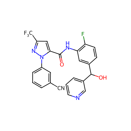 N#Cc1cccc(-n2nc(C(F)(F)F)cc2C(=O)Nc2cc(C(O)c3cccnc3)ccc2F)c1